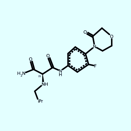 CC(C)CN[C@@H](C(N)=O)C(=O)Nc1ccc(N2CCOCC2=O)c(F)c1